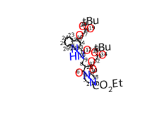 CCOC(=O)N1CCN(C(=O)C(CCNC(=O)c2cc(OCC(=O)OC(C)(C)C)c3ccccc3n2)C(=O)OCC(=O)OC(C)(C)C)CC1